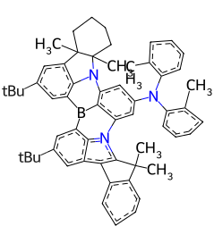 Cc1ccccc1N(c1cc2c3c(c1)-n1c4c(c5cc(C(C)(C)C)cc(c51)B3c1cc(C(C)(C)C)cc3c1N2C1(C)CCCCC31C)-c1ccccc1C4(C)C)c1ccccc1C